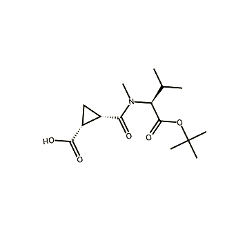 CC(C)[C@@H](C(=O)OC(C)(C)C)N(C)C(=O)[C@H]1C[C@H]1C(=O)O